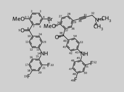 COc1ccc(Br)cc1C(=O)c1ccc(Nc2ccc(F)cc2F)cc1.COc1ccc(C#CCN(C)C)cc1C(=O)c1ccc(Nc2ccc(F)cc2F)cc1